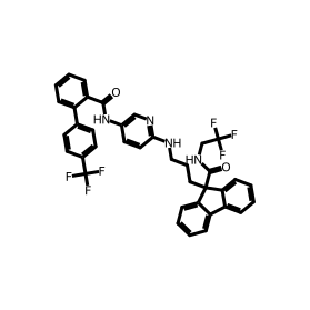 O=C(Nc1ccc(NCCCC2(C(=O)NCC(F)(F)F)c3ccccc3-c3ccccc32)nc1)c1ccccc1-c1ccc(C(F)(F)F)cc1